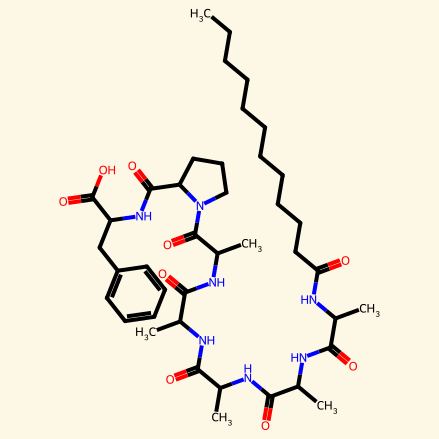 CCCCCCCCCCCC(=O)NC(C)C(=O)NC(C)C(=O)NC(C)C(=O)NC(C)C(=O)NC(C)C(=O)N1CCCC1C(=O)NC(Cc1ccccc1)C(=O)O